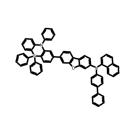 c1ccc(-c2ccc(N(c3ccc4c(c3)oc3cc(-c5ccc6c(c5)N(c5ccccc5)c5ccccc5[Si]6(c5ccccc5)c5ccccc5)ccc34)c3cccc4ccccc34)cc2)cc1